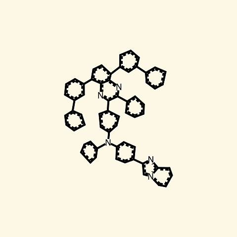 c1ccc(-c2cccc(-c3ccc(-c4cccc(-c5ccccc5)c4)c4nc(-c5ccc(N(c6ccccc6)c6ccc(-c7cn8ccccc8n7)cc6)cc5)c(-c5ccccc5)nc34)c2)cc1